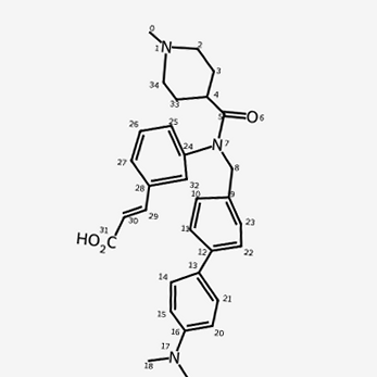 CN1CCC(C(=O)N(Cc2ccc(-c3ccc(N(C)C)cc3)cc2)c2cccc(C=CC(=O)O)c2)CC1